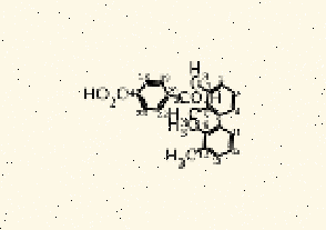 Cc1ccccc1C.Cc1ccccc1C.O=C(O)c1ccc(C(=O)O)cc1